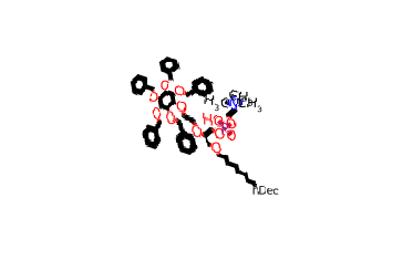 CCCCCCCCCCCCCCCCCCOC[C@H](COP(=O)(O)OCC[N+](C)(C)C)OCCO[C@@H]1[C@@H](OCc2ccccc2)[C@H](OCc2ccccc2)[C@@H](OCc2ccccc2)[C@H](OCc2ccccc2)[C@@H]1OCc1ccccc1